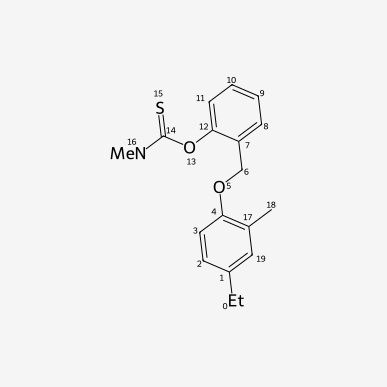 CCc1ccc(OCc2ccccc2OC(=S)NC)c(C)c1